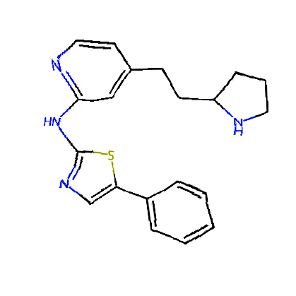 c1ccc(-c2cnc(Nc3cc(CCC4CCCN4)ccn3)s2)cc1